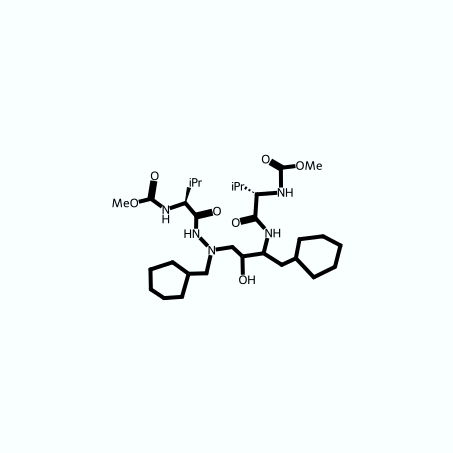 COC(=O)N[C@H](C(=O)NC(CC1CCCCC1)C(O)CN(CC1CCCCC1)NC(=O)[C@@H](NC(=O)OC)C(C)C)C(C)C